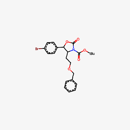 CC(C)(C)OC(=O)N1C(=O)OC(c2ccc(Br)cc2)C1CCOCc1ccccc1